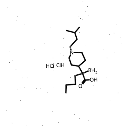 BC(CCCC)(C(=O)O)C1CCN(CCC(C)C)CC1.Cl.Cl